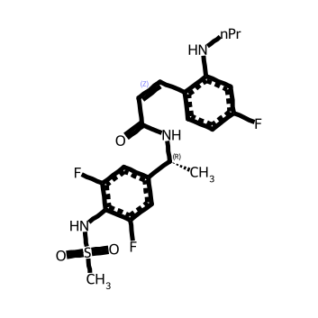 CCCNc1cc(F)ccc1/C=C\C(=O)N[C@H](C)c1cc(F)c(NS(C)(=O)=O)c(F)c1